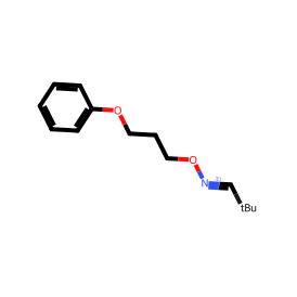 CC(C)(C)/C=N/OCCCOc1ccccc1